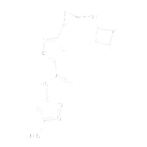 Nc1nnc(NC(=O)c2csc(C3CC3NC3CCC3)c2)s1